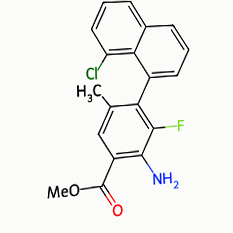 COC(=O)c1cc(C)c(-c2cccc3cccc(Cl)c23)c(F)c1N